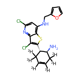 [2H]C1=C([2H])C([2H])([2H])[C@H](c2sc3c(NCc4ccco4)cc(Cl)nc3c2Cl)[C@@H](N)C1([2H])[2H]